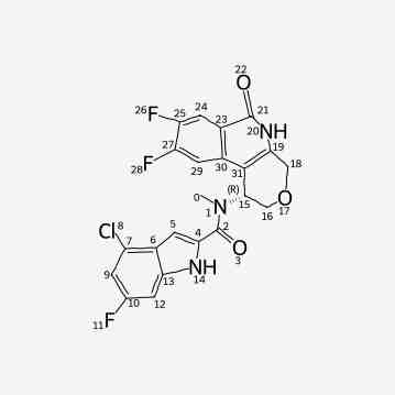 CN(C(=O)c1cc2c(Cl)cc(F)cc2[nH]1)[C@H]1COCc2[nH]c(=O)c3cc(F)c(F)cc3c21